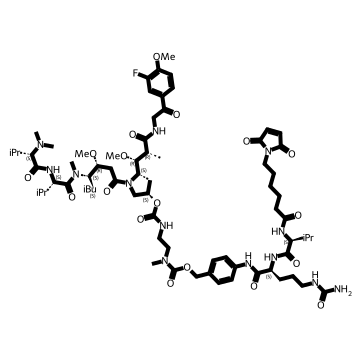 CC[C@H](C)[C@@H]([C@@H](CC(=O)N1C[C@@H](OC(=O)NCCN(C)C(=O)OCc2ccc(NC(=O)[C@H](CCCNC(N)=O)NC(=O)[C@@H](NC(=O)CCCCCN3C(=O)C=CC3=O)C(C)C)cc2)C[C@H]1[C@H](OC)[C@@H](C)C(=O)NCC(=O)c1ccc(OC)c(F)c1)OC)N(C)C(=O)[C@@H](NC(=O)[C@H](C(C)C)N(C)C)C(C)C